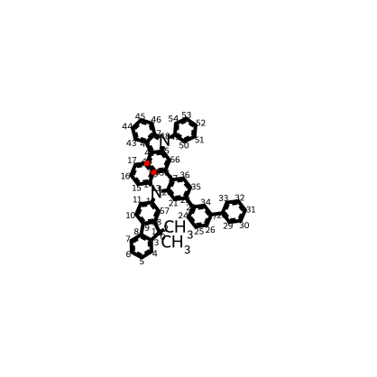 CC1(C)c2ccccc2-c2ccc(N(c3ccccc3)c3cc(-c4cccc(-c5ccccc5)c4)ccc3-c3ccc4c5ccccc5n(-c5ccccc5)c4c3)cc21